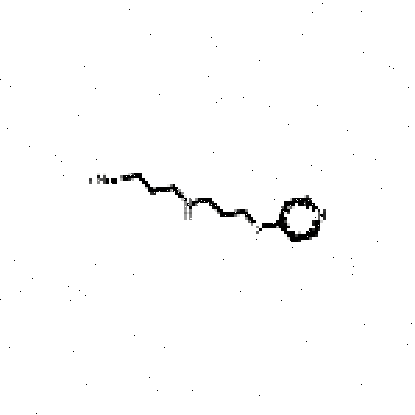 CCCCCCCCCCCCNCCCSc1ccncc1